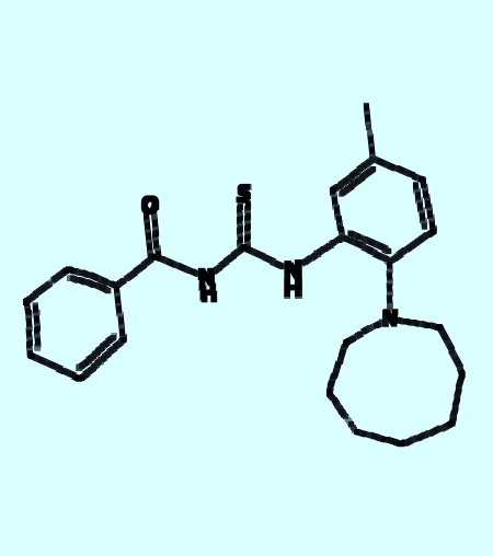 Cc1ccc(N2CCCCCCC2)c(NC(=S)NC(=O)c2ccccc2)c1